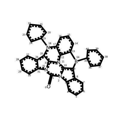 O=c1n2c3ccccc3c3c2n2c4c(cccc4n(-c4ccccc4)c4c5ccccc5n1c42)B3c1ccccc1